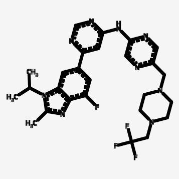 Cc1nc2c(F)cc(-c3cc(Nc4cnc(CN5CCN(CC(F)(F)F)CC5)cn4)ncn3)cc2n1C(C)C